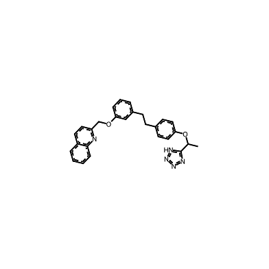 CC(Oc1ccc(CCc2cccc(OCc3ccc4ccccc4n3)c2)cc1)c1nnn[nH]1